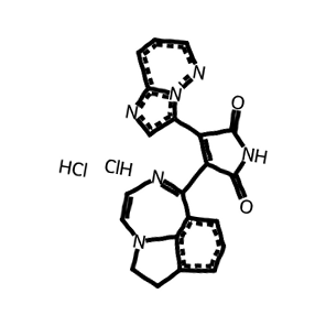 Cl.Cl.O=C1NC(=O)C(c2cnc3cccnn23)=C1C1=NC=CN2CCc3cccc1c32